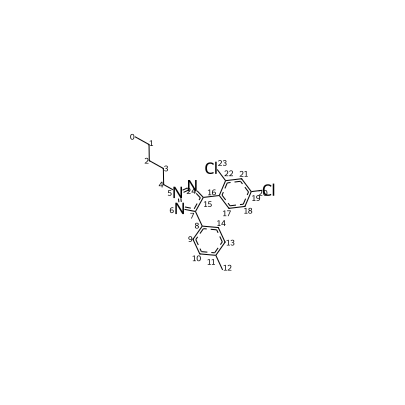 CCCCCn1nc(-c2ccc(C)cc2)c(-c2ccc(Cl)cc2Cl)n1